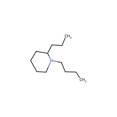 CCCCN1CCCCC1CCC